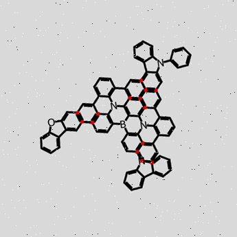 c1ccc(-c2cccc(-c3ccccc3)c2N2c3cc(-c4ccc5oc6ccccc6c5c4)ccc3B3c4ccc(-n5c6ccccc6c6ccccc65)cc4N(c4c(-c5ccccc5)cccc4-c4ccccc4)c4cc(-c5ccc6c(c5)c5ccccc5n6-c5ccccc5)cc2c43)cc1